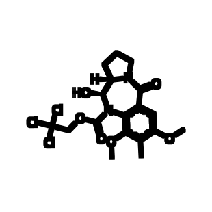 COc1cc2c(c(OC)c1C)N(C(=O)OCC(Cl)(Cl)Cl)[C@@H](O)[C@@H]1CCCN1C2=O